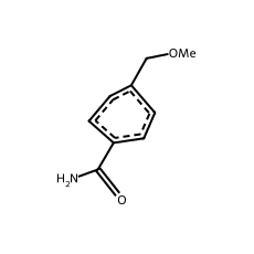 COCc1ccc(C(N)=O)cc1